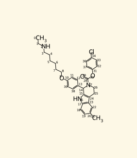 CCNCCCCCCOc1ccc(C2c3[nH]c4ccc(C)cc4c3CCN2C(=O)Oc2ccc(Cl)cc2)cc1